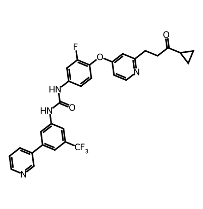 O=C(Nc1cc(-c2cccnc2)cc(C(F)(F)F)c1)Nc1ccc(Oc2ccnc(CCC(=O)C3CC3)c2)c(F)c1